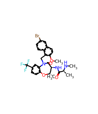 CN[C@@H](C)C(=O)N[C@@H]1C(=O)N(Cc2c(OC)ccc3cc(Br)ccc23)c2cc(C(F)(F)F)ccc2O[C@H]1C